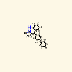 c1ccc(-c2ccc(C(c3ccccc3)C3CCCN3)cc2)cc1